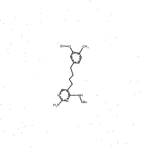 CCCCNc1nc(N)ncc1CCCCc1ccc(C)c(OCC)c1